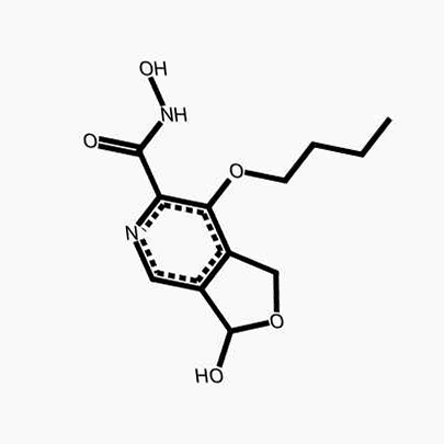 CCCCOc1c(C(=O)NO)ncc2c1COC2O